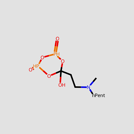 CCCCCN(C)CCC1(O)O[PH](=O)O[PH](=O)O1